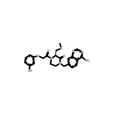 COC[C@H]1C(=O)N(Cc2ccc3c(N)ncnc3c2)CCN1C(=O)COc1cccc(O)c1